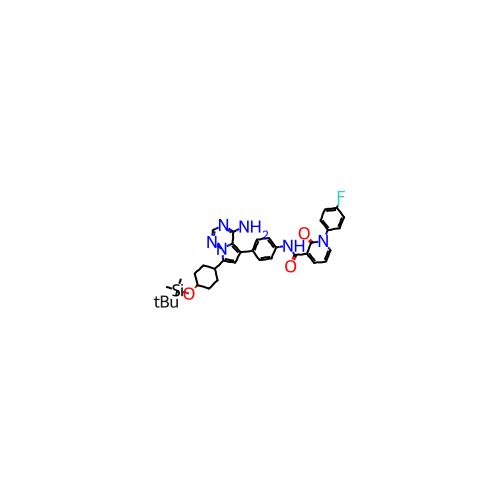 CC(C)(C)[Si](C)(C)OC1CCC(c2cc(-c3ccc(NC(=O)c4cccn(-c5ccc(F)cc5)c4=O)cc3)c3c(N)ncnn23)CC1